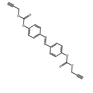 C#CCOC(=O)Oc1ccc(N=Nc2ccc(OC(=O)OCC#C)cc2)cc1